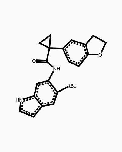 CC(C)(C)c1cc2cc[nH]c2cc1NC(=O)C1(c2ccc3c(c2)CCO3)CC1